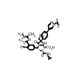 CC(=NC(=O)c1cc([C@@H](COC(=O)NC2CC2)N2C(=O)C(CC(C)(C)C)(c3ccc(-c4cnn(C(F)F)c4)cc3)NC2=NC(=O)O)ccc1Cl)N(C)C